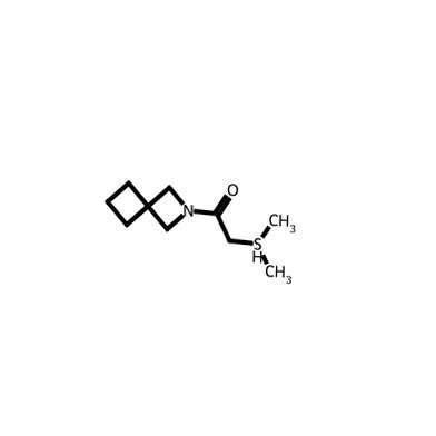 C[SH](C)CC(=O)N1CC2(CCC2)C1